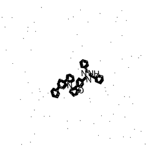 N/C(=N\C(=N/Cc1ccccc1)c1ccc2c(c1)oc1cccc(-n3c4ccccc4c4ccc(-c5ccccc5)cc43)c12)c1ccccc1